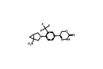 NC12CC1CN(c1ccc(C3=NNC(=O)OC3)cc1C(F)(F)F)C2